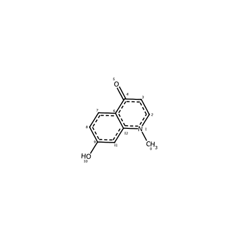 Cn1ccc(=O)c2ccc(O)cc21